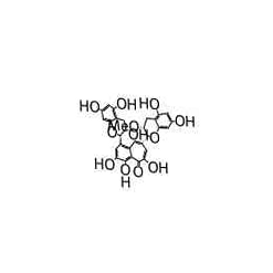 CO[C@@H]1Cc2c(O)cc(O)cc2O[C@@H]1c1cc(O)c(=O)c2c(O)c(O)cc([C@H]3Oc4cc(O)cc(O)c4C[C@@H]3O)c2c1